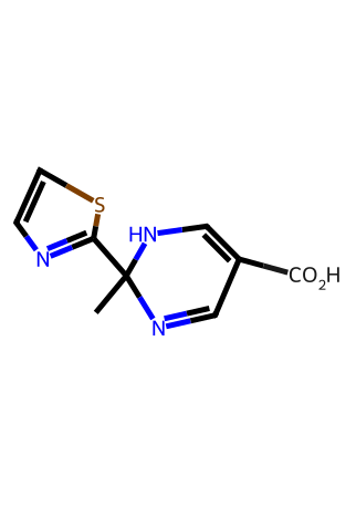 CC1(c2nccs2)N=CC(C(=O)O)=CN1